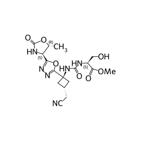 COC(=O)[C@H](CO)NC(=O)N[C@]1(c2nnc([C@H]3NC(=O)O[C@@H]3C)o2)C[C@@H](CC#N)C1